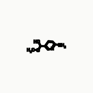 COC(O)c1ccc(N)nc1